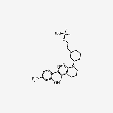 Cc1c(-c2ccc(C(F)(F)F)cc2O)nnc2c1CCCN2[C@@H]1CCCN(CCO[Si](C)(C)C(C)(C)C)C1